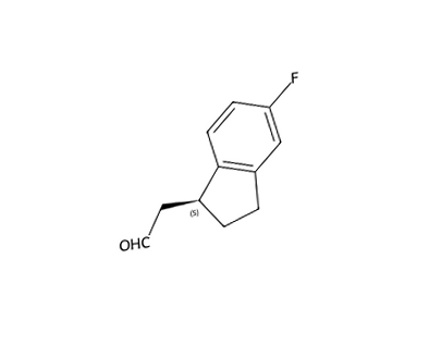 O=CC[C@@H]1CCc2cc(F)ccc21